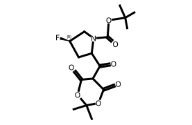 CC(C)(C)OC(=O)N1C[C@H](F)CC1C(=O)C1C(=O)OC(C)(C)OC1=O